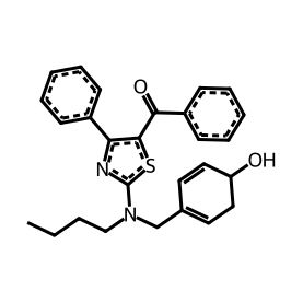 CCCCN(CC1=CCC(O)C=C1)c1nc(-c2ccccc2)c(C(=O)c2ccccc2)s1